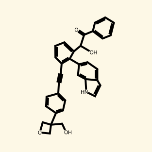 O=C(c1ccccc1)C(O)c1cccc(C#Cc2ccc(C3(CO)COC3)cc2)c1-c1ccc2cc[nH]c2c1